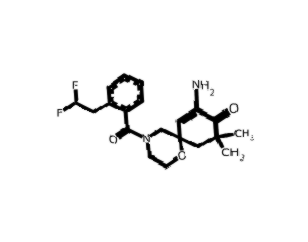 CC1(C)CC2(C=C(N)C1=O)CN(C(=O)c1ccccc1CC(F)F)CCO2